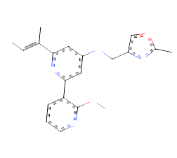 CCC=C(C)c1cc(NCc2coc(C)n2)cc(-c2cccnc2OCC)n1